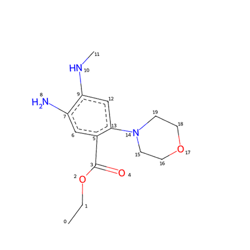 CCOC(=O)c1cc(N)c(NC)cc1N1CCOCC1